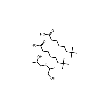 CC(C)(C)CCCCCC(=O)O.CC(C)(C)CCCCCC(=O)O.CC(O)COC(C)CO